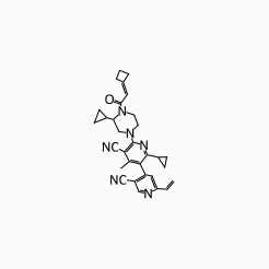 C=Cc1cc(-c2c(C3CC3)nc(N3CCN(C(=O)C=C4CCC4)C(C4CC4)C3)c(C#N)c2C)c(C#N)cn1